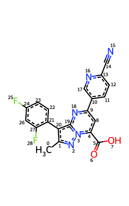 Cc1nn2c(C(=O)O)cc(-c3ccc(C#N)nc3)nc2c1-c1ccc(F)cc1F